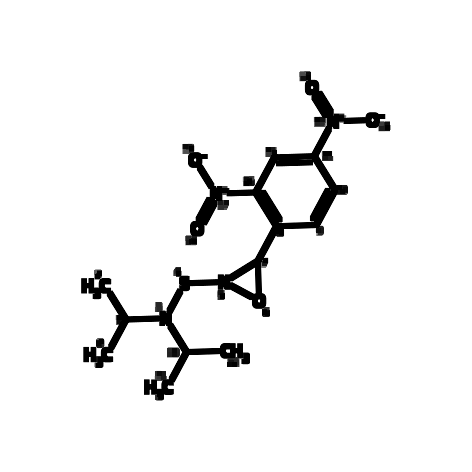 CC(C)N(SN1OC1c1ccc([N+](=O)[O-])cc1[N+](=O)[O-])C(C)C